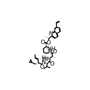 C=Cc1ccc2ccc([C@@H](C)OC(=O)[C@@H]3CCCN(C(=O)[C@H](C)NC(=O)[C@@H](NC(=O)[C@@H](/C=C/C)CC4CC4)C(C)C)N3)nc2c1